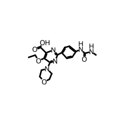 CCOc1c(C(=O)O)nc(-c2ccc(NC(=O)NC)cc2)nc1N1CCOCC1